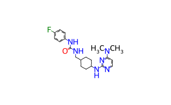 CN(C)c1ccnc(NC2CCC(CNC(=O)Nc3ccc(F)cc3)CC2)n1